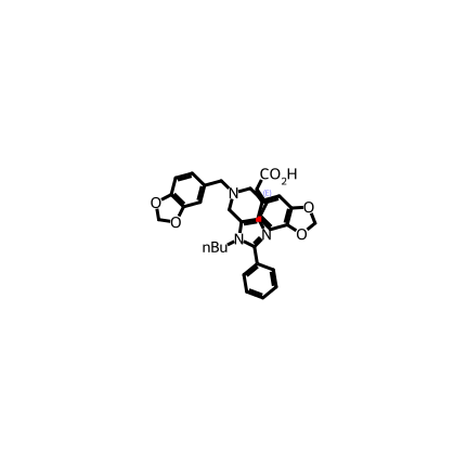 CCCCn1c(-c2ccccc2)nc(/C=C/C(=O)O)c1CN(Cc1ccc2c(c1)OCO2)Cc1ccc2c(c1)OCO2